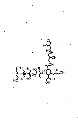 CC(O)C(O)CC(C[C@H](O)CO)C(I)C(O)CO.CCC(O)CO.CCC(O)CO.C[C@H](O)CO.OCC(O)CBr.OCC(O)CCl.OCC(O)CF.OCCCCO